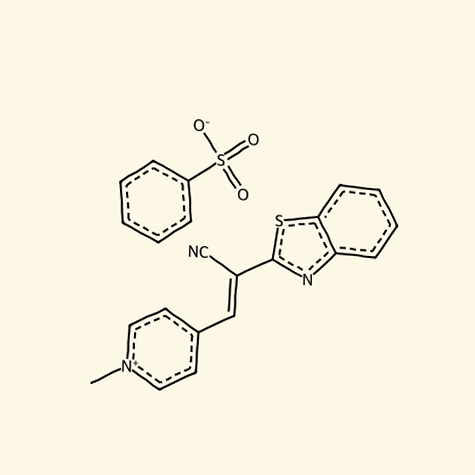 C[n+]1ccc(C=C(C#N)c2nc3ccccc3s2)cc1.O=S(=O)([O-])c1ccccc1